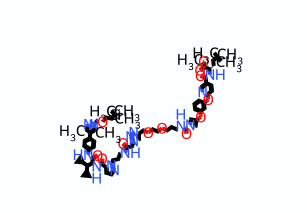 COC(=O)[C@H](CCC(C)(C)C)NC(=O)c1ccc(Oc2cccc(OC3CN(C(=O)NCCCOCCOCc4cn(CC(=O)NCCCn5nccc5C(=O)N[C@H](C(=O)Nc5ccc(-c6c(C)nn(COCC[Si](C)(C)C)c6C)cc5)C(C5CC5)C5CC5)nn4)C3)c2)nc1